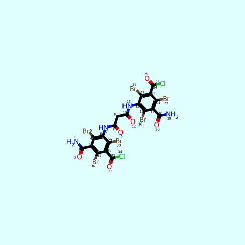 NC(=O)c1c(Br)c(NC(=O)CC(=O)Nc2c(Br)c(C(N)=O)c(Br)c(C(=O)Cl)c2Br)c(Br)c(C(=O)Cl)c1Br